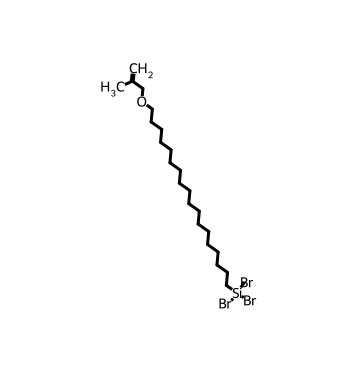 C=C(C)COCCCCCCCCCCCCCCCCCC[Si](Br)(Br)Br